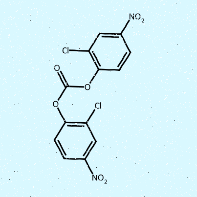 O=C(Oc1ccc([N+](=O)[O-])cc1Cl)Oc1ccc([N+](=O)[O-])cc1Cl